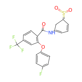 O=C(NC1=CC=CC(=S(=O)=O)C1)c1ccc(C(F)(F)F)cc1Oc1ccc(F)cc1